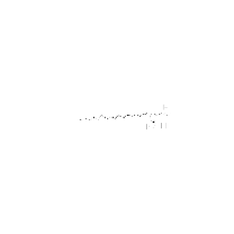 CCCCCCCCCCCCCCCCCCN(CCCN)CC(O)(O)O